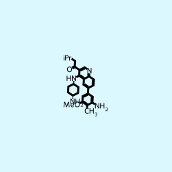 COc1cc(-c2ccc3ncc(C(=O)CC(C)C)c(N[C@H]4CC[C@H](N)CC4)c3c2)cc(N)c1C